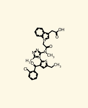 CCc1cc(C(=O)c2ccccc2Cl)c(-n2c(C)nnc2N(C)C(=O)Cn2cc(CC(=O)O)c3ccccc32)s1